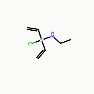 C=C[Si](Cl)(C=C)NCC